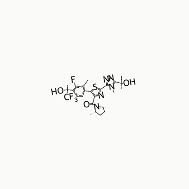 Cc1c(-c2sc(-c3nnc(C(C)(C)O)n3C)nc2C(=O)N2CCC[C@@H]2C)ccc(C(C)(O)C(F)(F)F)c1F